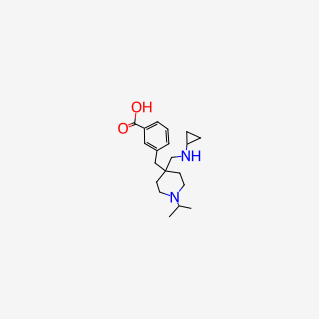 CC(C)N1CCC(CNC2CC2)(Cc2cccc(C(=O)O)c2)CC1